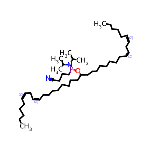 CCCCC/C=C\C/C=C\CCCCCCCCC(CCCCCCCC/C=C\C/C=C\CCCCC)OP(CCCC#N)N(C(C)C)C(C)C